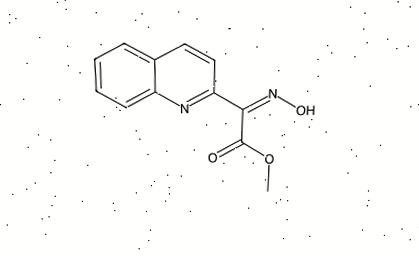 COC(=O)C(=NO)c1ccc2ccccc2n1